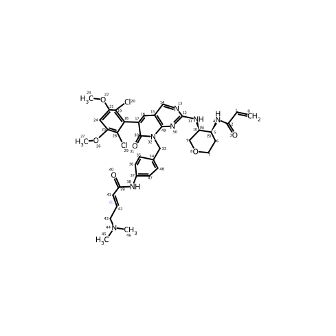 C=CC(=O)N[C@H]1CCOC[C@H]1Nc1ncc2cc(-c3c(Cl)c(OC)cc(OC)c3Cl)c(=O)n(Cc3ccc(NC(=O)/C=C/CN(C)C)cc3)c2n1